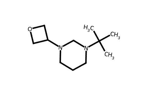 CC(C)(C)N1CCCN(C2COC2)C1